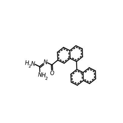 NC(N)=NC(=O)c1ccc2cccc(-c3cccc4ccccc34)c2c1